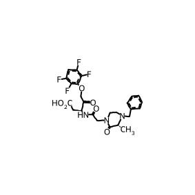 C[C@@H]1C(=O)N(CC(=O)N[C@@H](CC(=O)O)C(=O)COc2c(F)c(F)cc(F)c2F)CCN1Cc1ccccc1